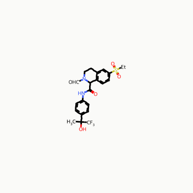 CCS(=O)(=O)c1ccc2c(c1)CCN(C=O)C2C(=O)Nc1ccc(C(C)(O)C(F)(F)F)cc1